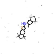 Cc1cc2c(cc1Nc1cc3cc4c(cc3s1)C(C)(C)CCC4(C)C)C(C)(C)CCC2(C)C